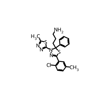 Cc1ccc(Cl)c(C2=NN(c3nnc(C)s3)C(CCCN)(c3ccccc3)S2)c1